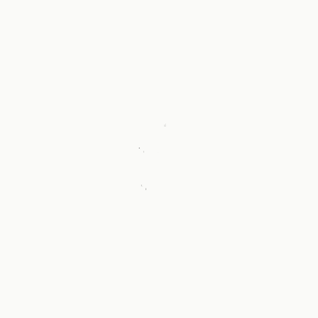 Ic1nc2ccccc2[nH]1.[Ag]